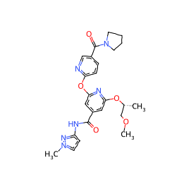 COC[C@@H](C)Oc1cc(C(=O)Nc2ccn(C)n2)cc(Oc2ccc(C(=O)N3CCCC3)cn2)n1